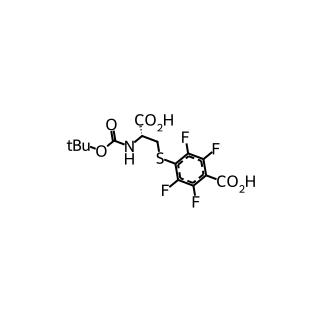 CC(C)(C)OC(=O)N[C@@H](CSc1c(F)c(F)c(C(=O)O)c(F)c1F)C(=O)O